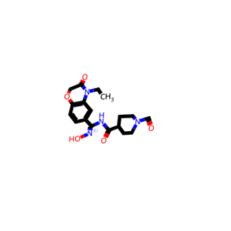 CCN1C(=O)COc2ccc(/C(=N\O)NC(=O)C3CCN(C=O)CC3)cc21